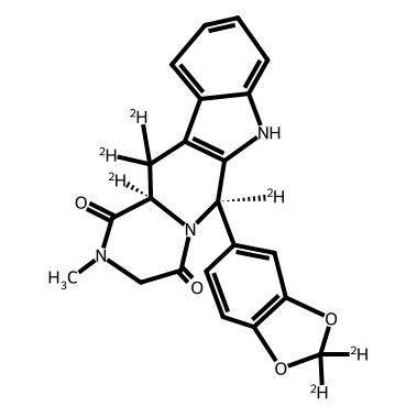 [2H]C1([2H])Oc2ccc([C@]3([2H])c4[nH]c5ccccc5c4C([2H])([2H])[C@]4([2H])C(=O)N(C)CC(=O)N34)cc2O1